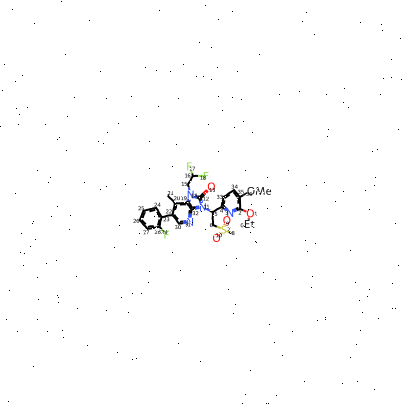 CCOc1nc(C(CS(C)(=O)=O)n2c(=O)n(CC(F)F)c3c(C)c(-c4ccccc4F)cnc32)ccc1OC